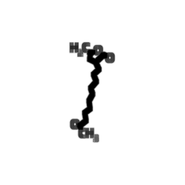 C=C1CC(CCCCCCCCCC(C)=O)C(=O)O1